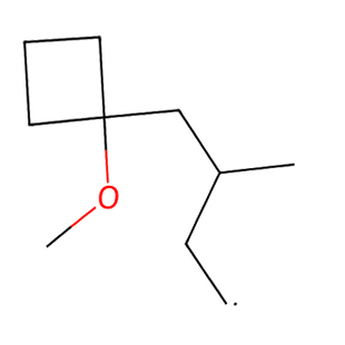 [CH2]CC(C)CC1(OC)CCC1